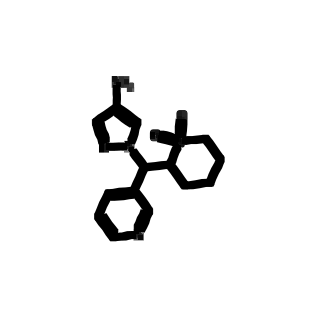 Nc1cnn(C(c2cccnc2)C2CCCCS2(=O)=O)c1